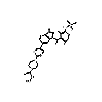 CC(C)S(=O)(=O)Nc1ccc(F)c(C(=O)c2c[nH]c3ncc(-c4cnc(N5CCN(C(=O)OC(C)(C)C)CC5)nc4)cc23)c1F